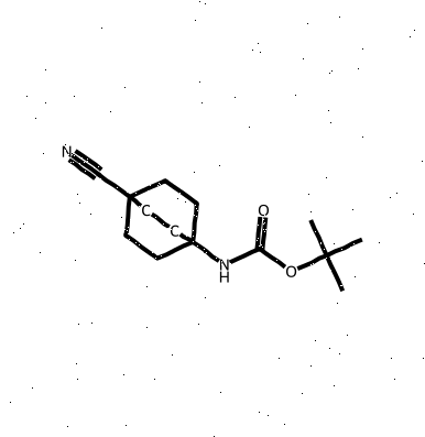 CC(C)(C)OC(=O)NC12CCC(C#N)(CC1)CC2